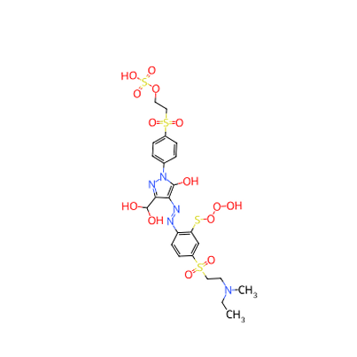 CCN(C)CCS(=O)(=O)c1ccc(N=Nc2c(C(O)O)nn(-c3ccc(S(=O)(=O)CCOS(=O)(=O)O)cc3)c2O)c(SOOO)c1